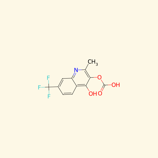 Cc1nc2cc(C(F)(F)F)ccc2c(O)c1OC(=O)O